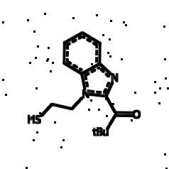 CC(C)(C)C(=O)c1nc2ccccc2n1CCS